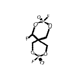 O=P1(F)OCC2(CO1)COP(=O)(F)OC2F